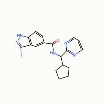 O=C(NC(c1ncccn1)C1CCCC1)c1ccc2[nH]nc(I)c2c1